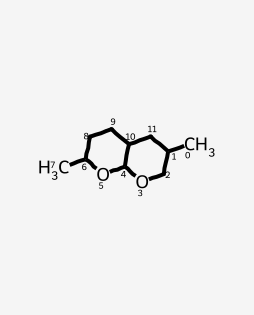 CC1COC2OC(C)CCC2C1